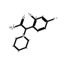 NC(=O)C(c1ccc(F)cc1F)N1CCCCC1